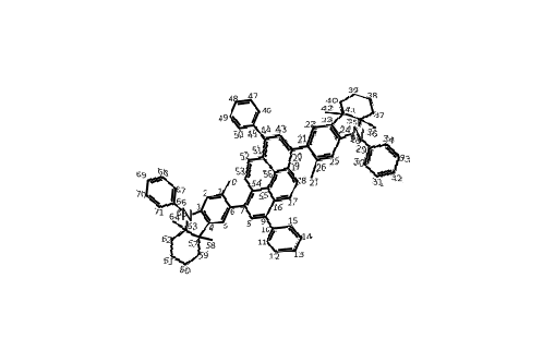 Cc1cc2c(cc1-c1cc(-c3ccccc3)c3ccc4c(-c5cc6c(cc5C)N(c5ccccc5)C5(C)CCCCC65C)cc(-c5ccccc5)c5ccc1c3c54)C1(C)CCCCC1(C)N2c1ccccc1